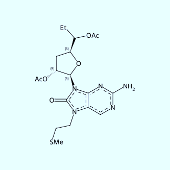 CCC(OC(C)=O)[C@@H]1C[C@@H](OC(C)=O)[C@H](n2c(=O)n(CCSC)c3cnc(N)nc32)O1